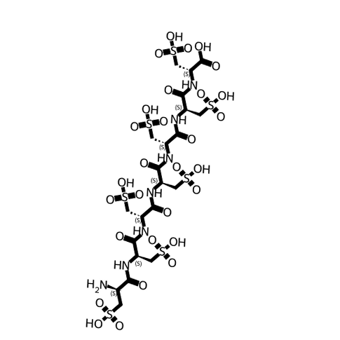 N[C@H](CS(=O)(=O)O)C(=O)N[C@H](CS(=O)(=O)O)C(=O)N[C@H](CS(=O)(=O)O)C(=O)N[C@H](CS(=O)(=O)O)C(=O)N[C@H](CS(=O)(=O)O)C(=O)N[C@H](CS(=O)(=O)O)C(=O)N[C@H](CS(=O)(=O)O)C(=O)O